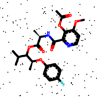 COc1ccnc(C(=O)N[C@@H](C)C(=O)OC(C(C)C)[C@H](C)Oc2ccc(F)cc2)c1OC(C)=O